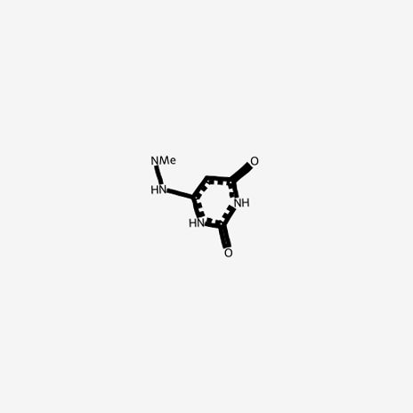 CNNc1cc(=O)[nH]c(=O)[nH]1